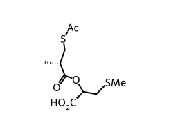 CSC[C@H](OC(=O)[C@H](C)CSC(C)=O)C(=O)O